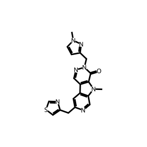 Cn1ccc(Cn2ncc3c4cc(Cc5cscn5)ncc4n(C)c3c2=O)n1